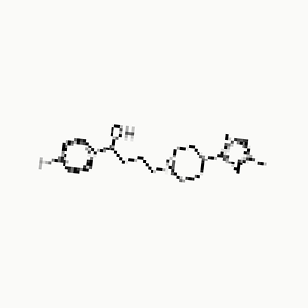 Cc1csc(C2CCN(CCCC(O)c3ccc(F)cc3)CC2)n1